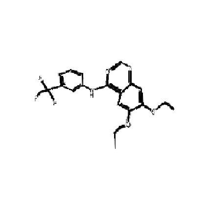 CCOc1cc2ncnc(Nc3cccc(C(F)(F)F)c3)c2cc1OCC